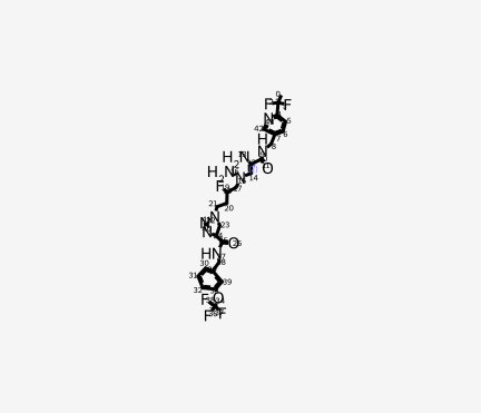 CC(F)(F)c1ccc(CNC(=O)/C(N)=C/N(N)CC(F)CCN2CC(C(=O)NCc3cccc(OC(F)(F)F)c3)N=N2)cn1